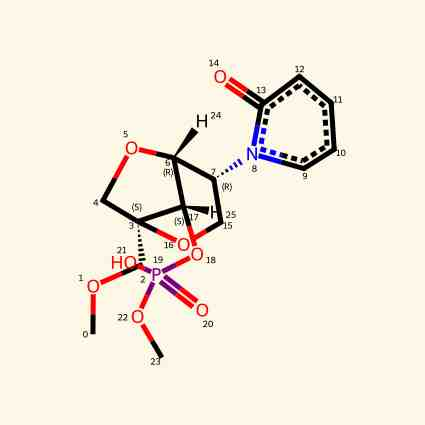 COC[C@@]12CO[C@H]([C@H](n3ccccc3=O)CO1)[C@@H]2OP(=O)(O)OC